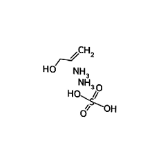 C=CCO.N.N.O=S(=O)(O)O